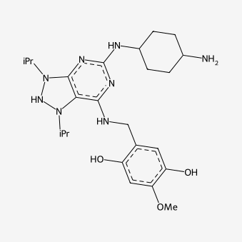 COc1cc(O)c(CNc2nc(NC3CCC(N)CC3)nc3c2N(C(C)C)NN3C(C)C)cc1O